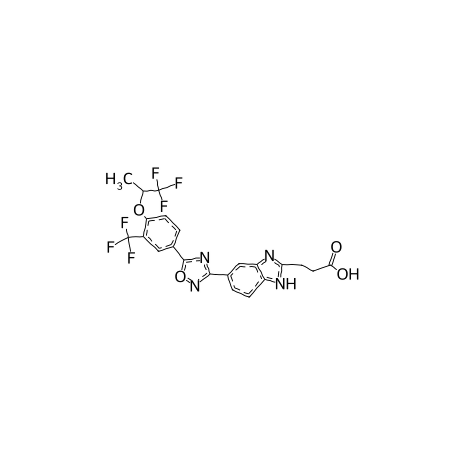 CC(Oc1ccc(-c2nc(-c3ccc4[nH]c(CCC(=O)O)nc4c3)no2)cc1C(F)(F)F)C(F)(F)F